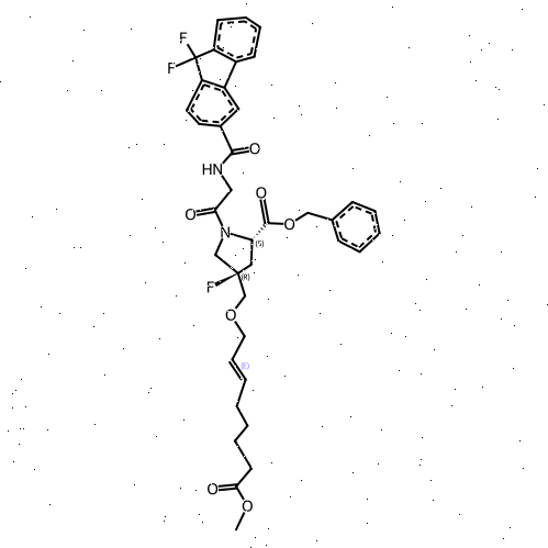 COC(=O)CCCC/C=C/COC[C@@]1(F)C[C@@H](C(=O)OCc2ccccc2)N(C(=O)CNC(=O)c2ccc3c(c2)-c2ccccc2C3(F)F)C1